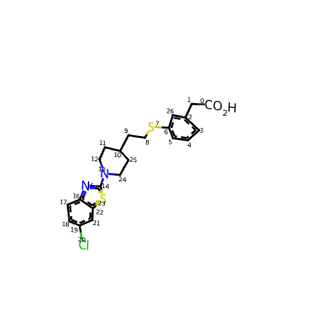 O=C(O)Cc1cccc(SCCC2CCN(c3nc4ccc(Cl)cc4s3)CC2)c1